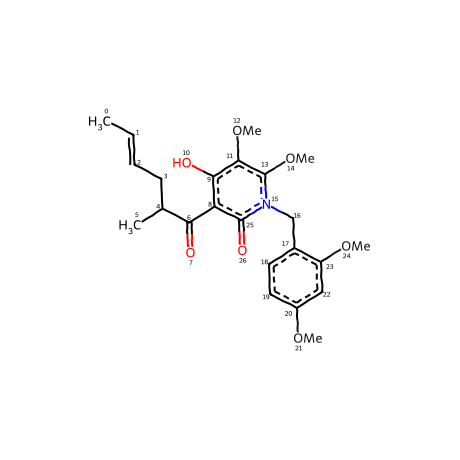 C/C=C/CC(C)C(=O)c1c(O)c(OC)c(OC)n(Cc2ccc(OC)cc2OC)c1=O